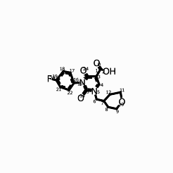 O=C(O)c1cn(CC2CCOCC2)c(=O)n(-c2ccc(F)cc2)c1=O